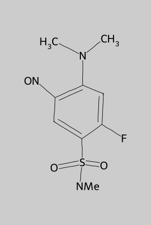 CNS(=O)(=O)c1cc(N=O)c(N(C)C)cc1F